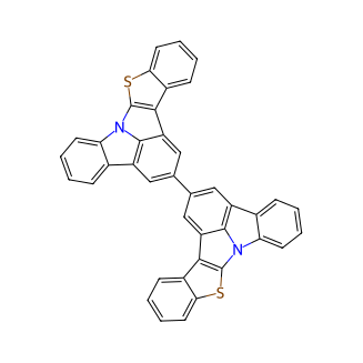 c1ccc2c(c1)sc1c2c2cc(-c3cc4c5ccccc5n5c6sc7ccccc7c6c(c3)c45)cc3c4ccccc4n1c32